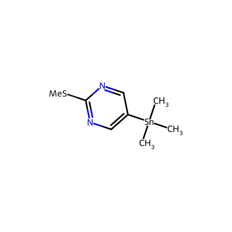 CSc1nc[c]([Sn]([CH3])([CH3])[CH3])cn1